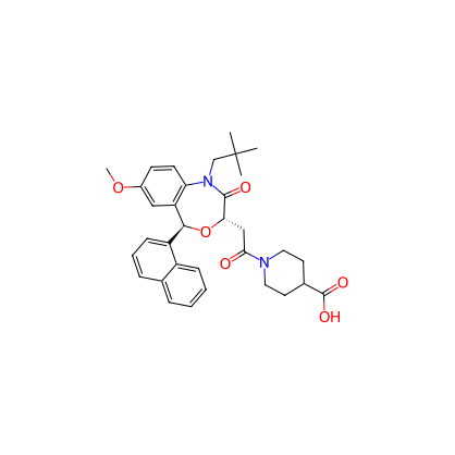 COc1ccc2c(c1)[C@H](c1cccc3ccccc13)O[C@@H](CC(=O)N1CCC(C(=O)O)CC1)C(=O)N2CC(C)(C)C